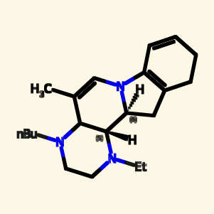 CCCCN1CCN(CC)[C@@H]2C1C(C)=CN1C3=C(CCC=C3)C[C@@H]21